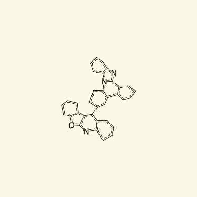 c1ccc2c(-c3ccc4c(c3)c3ccccc3c3nc5ccccc5n43)c3c(nc2c1)oc1ccccc13